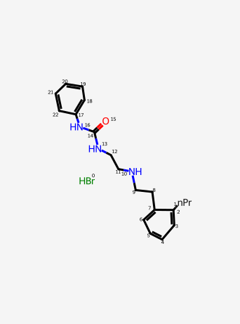 Br.CCCc1ccccc1CCNCCNC(=O)Nc1ccccc1